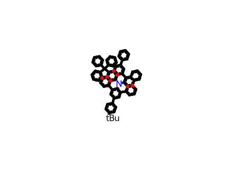 CC(C)(C)c1ccc(-c2cc(-c3ccccc3)c(N(c3ccc4c(c3)-c3ccccc3C4(c3ccccc3)c3ccccc3)c3ccc4ccccc4c3-c3cccc(-c4ccccc4)c3)c(-c3ccccc3)c2)cc1